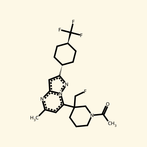 CC(=O)N1CCCC(CF)(c2cc(C)nc3cc([C@H]4CC[C@H](C(F)(F)F)CC4)nn23)C1